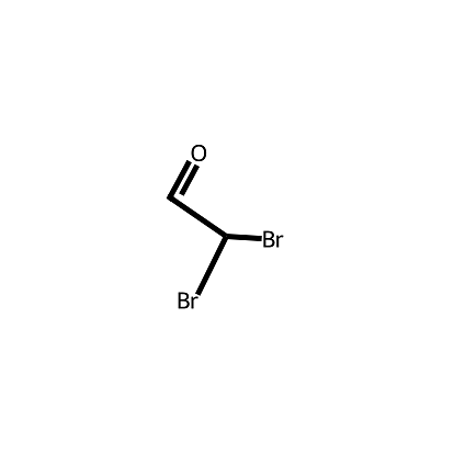 O=CC(Br)Br